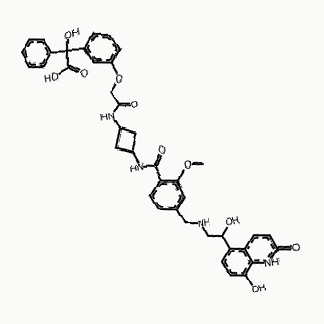 COc1cc(CNCC(O)c2ccc(O)c3[nH]c(=O)ccc23)ccc1C(=O)NC1CC(NC(=O)COc2cccc(C(O)(C(=O)O)c3ccccc3)c2)C1